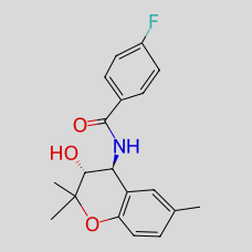 Cc1ccc2c(c1)[C@H](NC(=O)c1ccc(F)cc1)[C@@H](O)C(C)(C)O2